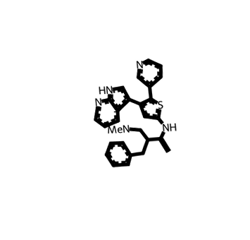 C=C(Nc1cc(-c2c[nH]c3ncccc23)c(-c2cccnc2)s1)C(CNC)Cc1ccccc1